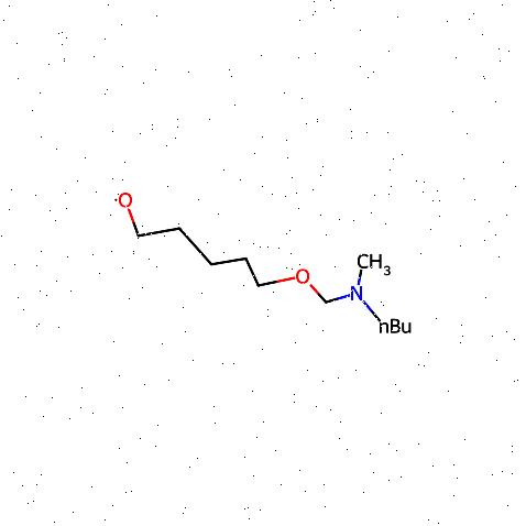 CCCCN(C)COCCCCC[O]